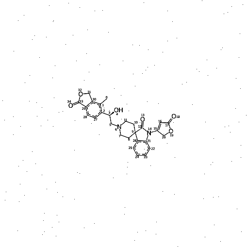 Cc1c([C@@H](O)CN2CCC3(CC2)C(=O)N(C2=CC(=O)OC2)c2ccccc23)ccc2c1COC2=O